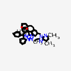 CCc1nc2c(C)cc(C)nc2n1Cc1ccc2c(c1)CCc1ccccc1C2(C)c1nnnn1C(c1ccccc1)(c1ccccc1)c1ccccc1